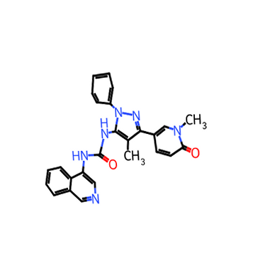 Cc1c(-c2ccc(=O)n(C)c2)nn(-c2ccccc2)c1NC(=O)Nc1cncc2ccccc12